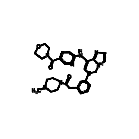 CN1CCN(C(=O)Cc2cccc(N3C=C(Nc4ccc(C(=O)N5CCOCC5)cn4)C4=NC=C[N+]4C3)c2)CC1